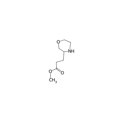 COC(=O)CCC1COCCN1